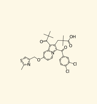 Cc1nc(COc2ccn3c(C(=O)c4ccc(Cl)c(Cl)c4)c(CC(C)(C)C(=O)O)c(C(=O)C(C)(C)C)c3c2)cs1